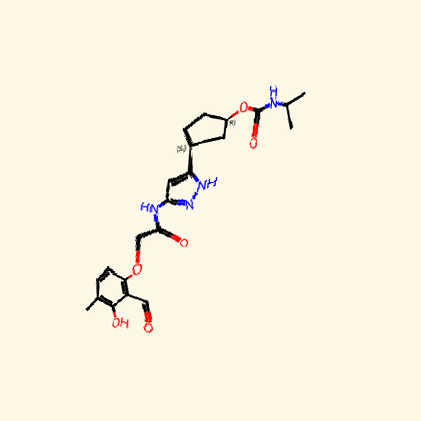 Cc1ccc(OCC(=O)Nc2cc([C@H]3CC[C@@H](OC(=O)NC(C)C)C3)[nH]n2)c(C=O)c1O